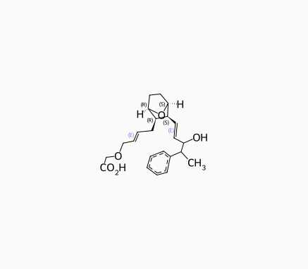 CC(c1ccccc1)C(O)/C=C/[C@H]1[C@@H](C/C=C/COCC(=O)O)[C@H]2CC[C@@H]1O2